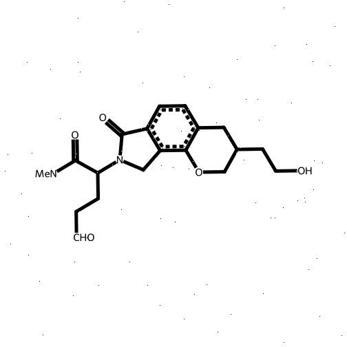 CNC(=O)C(CCC=O)N1Cc2c(ccc3c2OCC(CCO)C3)C1=O